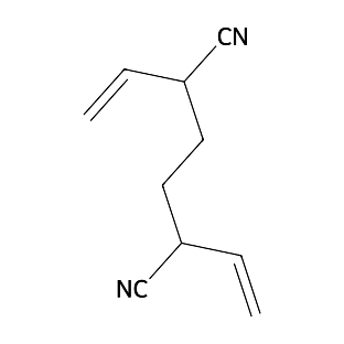 C=CC(C#N)CCC(C#N)C=C